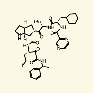 C[C@H](NC(=O)C(=O)[C@H](CCI)NC(=O)[C@@H]1[C@H]2NCC[C@H]2CN1C(=O)[C@@H](NC(=O)[C@H](CC1CCCCC1)NC(=O)c1cnccn1)C(C)(C)C)c1ccccc1